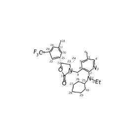 CCN(c1ncc(C)cc1CN1C(=O)O[C@H](c2cc(C)cc(C(F)(F)F)c2)[C@@H]1C)C1CCCCC1